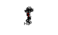 O=C(O)c1cccc(-n2cc(C34CCC(OCc5c(-c6c(Cl)cccc6Cl)noc5C5CC5)(CC3)CC4)nn2)c1